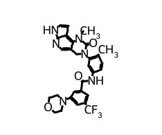 Cc1ccc(NC(=O)c2cc(N3CCOCC3)cc(C(F)(F)F)c2)cc1N1Cc2cnc3[nH]ccc3c2N(C)C1=O